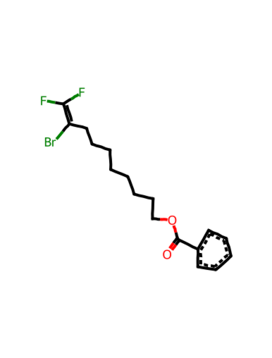 O=C(OCCCCCCCCC(Br)=C(F)F)c1ccccc1